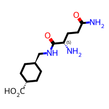 NC(=O)CC[C@H](N)C(=O)NC[C@H]1CC[C@H](C(=O)O)CC1